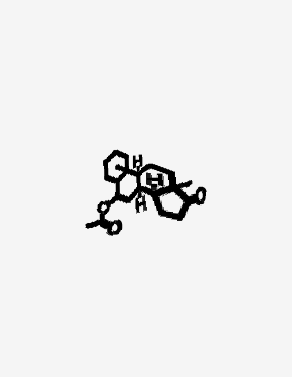 CC(=O)OC1C[C@@H]2[C@H](CC[C@]3(C)C(=O)CC[C@@H]23)[C@@]2(C)CCCCC12